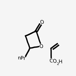 C=CC(=O)O.CCCC1CC(=O)O1